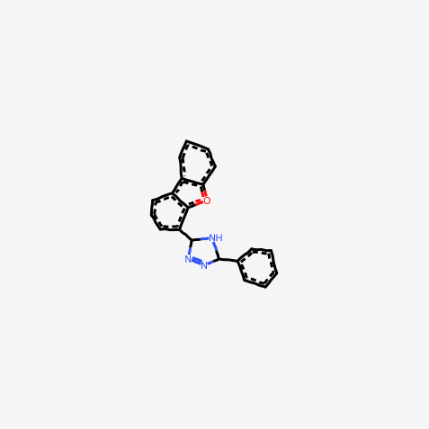 c1ccc(C2N=NC(c3cccc4c3oc3ccccc34)N2)cc1